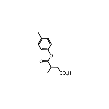 Cc1ccc(OC(=O)C(C)CC(=O)O)cc1